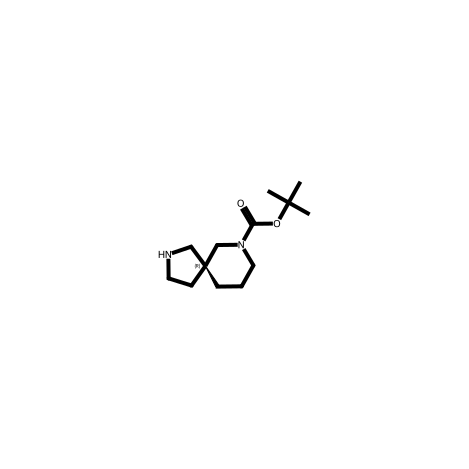 CC(C)(C)OC(=O)N1CCC[C@]2(CCNC2)C1